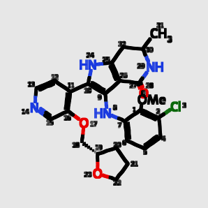 COc1c(Cl)cccc1Nc1c(-c2ccncc2OC[C@@H]2CCCO2)[nH]c2c1C(=O)NC(C)C2